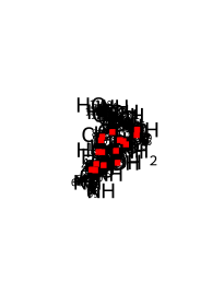 CC[C@H](CC(C)C)C(=O)N[C@H]1C(=O)C[C@@H](CC(N)=O)C(=O)N[C@H]2C(=O)C[C@H]3C(=O)N[C@H](C(=O)N[C@H](C(=O)CC4C5CC6CC(C5)CC4C6)c4cc(OC(=O)Nc5ccc(OCCNC)c(OCCNC)c5)cc(O)c4-c4cc3ccc4O)[C@H](O)c3ccc(c(Cl)c3)Oc3cc2cc(c3O[C@@H]2O[C@H](CO)[C@@H](O)[C@H](O)[C@H]2O[C@H]2C[C@](C)(N)[C@H](O)[C@H](C)O2)Oc2ccc(cc2Cl)[C@H]1O